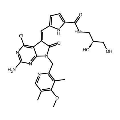 COc1c(C)cnc(CN2C(=O)C(=Cc3ccc(C(=O)NC[C@H](O)CO)[nH]3)c3c(Cl)nc(N)nc32)c1C